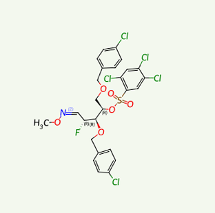 CO/N=C\[C@@H](F)[C@H](OCc1ccc(Cl)cc1)[C@@H](COCc1ccc(Cl)cc1)OS(=O)(=O)c1cc(Cl)c(Cl)cc1Cl